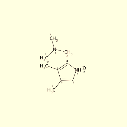 CN(C)C.Cc1c[nH]cc1C.[Zr]